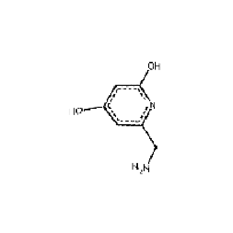 NCc1cc(O)cc(O)n1